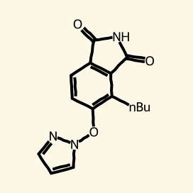 CCCCc1c(On2cccn2)ccc2c1C(=O)NC2=O